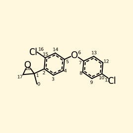 CC1(c2ccc(Oc3ccc(Cl)cc3)cc2Cl)CO1